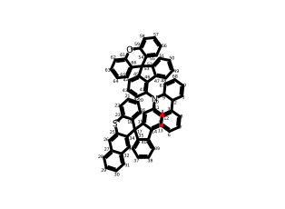 C1=CC(c2ccccc2)C(N(c2ccc3c(c2)C2(c4ccccc4Sc4cc5ccccc5cc42)c2ccccc2-3)c2cccc3c2-c2ccccc2C32c3ccccc3Oc3ccccc32)C=C1